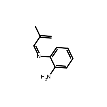 C=C(C)/C=N\c1ccccc1N